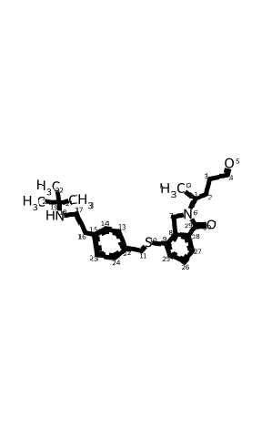 CC(CCC=O)N1Cc2c(SCc3ccc(CCNC(C)(C)C)cc3)cccc2C1=O